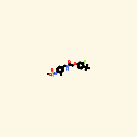 CO[SH](=O)=Nc1ccc(CNC(=O)COc2ccc(C(C)(C)C)c(F)c2)cc1C